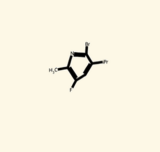 Cc1nc(Br)c(C(C)C)cc1F